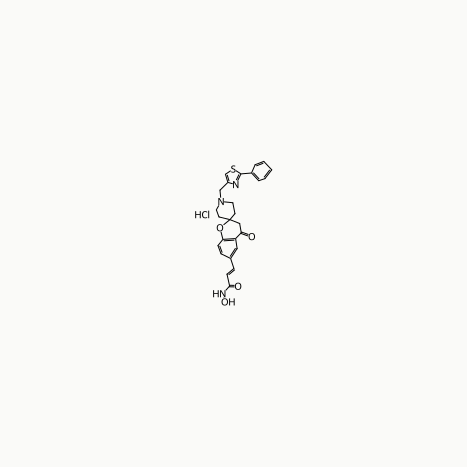 Cl.O=C(C=Cc1ccc2c(c1)C(=O)CC1(CCN(Cc3csc(-c4ccccc4)n3)CC1)O2)NO